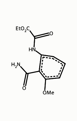 CCOC(=O)C(=O)Nc1cccc(OC)c1C(N)=O